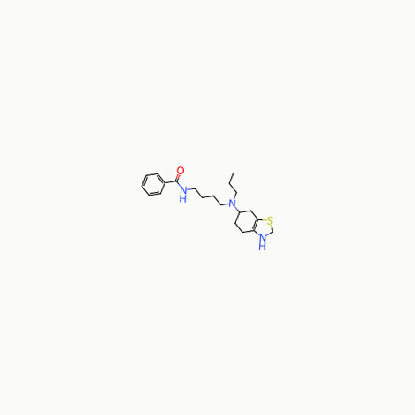 CCCN(CCCCNC(=O)c1ccccc1)C1CCC2=C(C1)SCN2